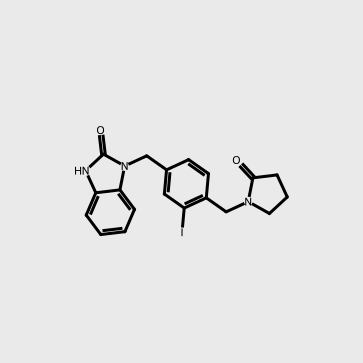 O=C1CCCN1Cc1ccc(Cn2c(=O)[nH]c3ccccc32)cc1I